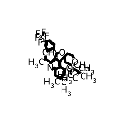 CC(C)c1nc2c(c3c1[C@@H](c1ccc(S(F)(F)(F)(F)F)cc1)OC31CCOCC1)C(O[Si](C)(C)C(C)(C)C)CC(C)(C)C2